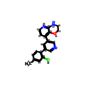 Cc1ccc(-c2cncc(-c3ccnc4c3OCCN4)c2)c(Cl)c1